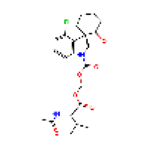 CC(=O)N[C@H](C(=O)OCOC(=O)NC[C@@]1(c2ccccc2Cl)CCCCC1=O)C(C)C